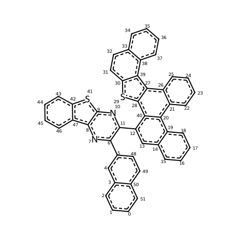 c1ccc2cc(-c3nc4c(nc3-c3cc5ccccc5c5c6ccccc6c6c(sc7ccc8ccccc8c76)c35)sc3ccccc34)ccc2c1